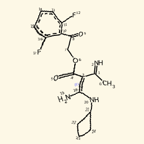 CC(=N)/C(C(=O)OCC(=O)c1c(F)cccc1F)=C(/N)NC1CCC1